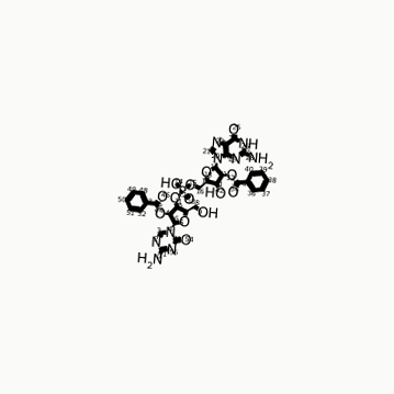 Nc1ncn([C@@H]2O[C@H](CO)C(OP(=O)(O)OC[C@H]3O[C@@H](n4cnc5c(=O)[nH]c(N)nc54)[C@@H](OC(=O)c4ccccc4)C3O)[C@@H]2OC(=O)c2ccccc2)c(=O)n1